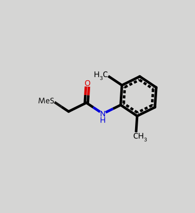 CSCC(=O)Nc1c(C)cccc1C